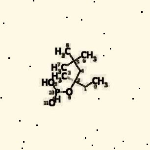 CC[C@](C)(CC(C)(C)C)O[PH](=O)O